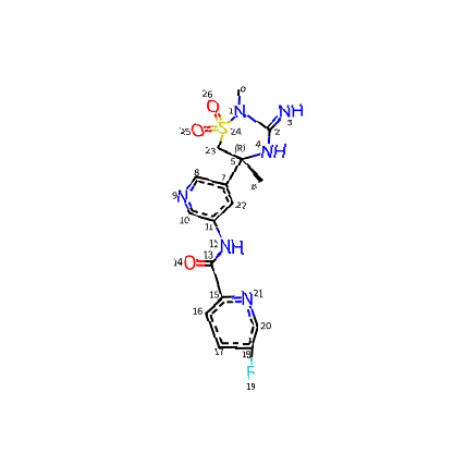 CN1C(=N)N[C@](C)(c2cncc(NC(=O)c3ccc(F)cn3)c2)CS1(=O)=O